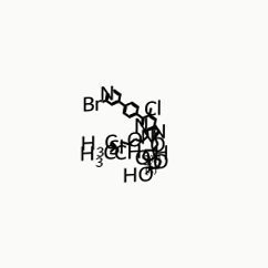 C[Si](C)(C)CCOCn1c(OC2COC3[C@@H]2OC[C@H]3O)nc2cc(Cl)c(-c3ccc(-c4ccnc(Br)c4)cc3)nc21